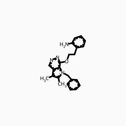 Cc1c(C)n(Cc2ccccc2)c2c(OCCc3ccccc3N)nncc12